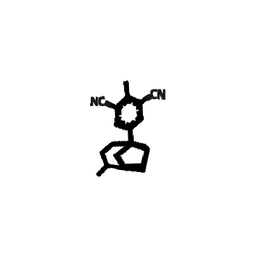 Cc1c(C#N)cc(C23CC=C(C2)C(C)CC3)cc1C#N